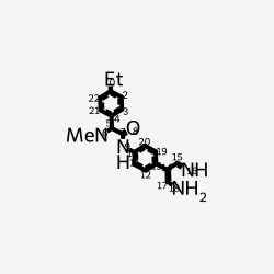 CCc1ccc(C(NC)C(=O)Nc2ccc(/C(C=N)=C/N)cc2)cc1